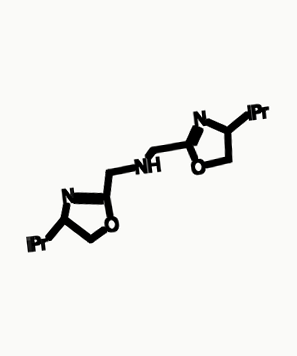 CC(C)C1COC(CNCC2=NC(C(C)C)CO2)=N1